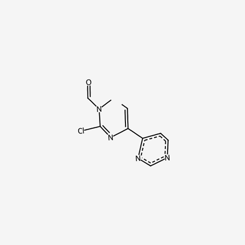 C/C=C(\N=C(\Cl)N(C)C=O)c1ccncn1